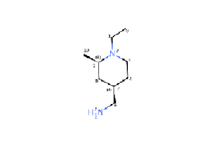 CCN1CC[C@@H](CN)C[C@H]1C